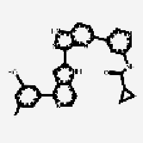 O=C(Nc1cncc(-c2ccc3[nH]nc(-c4cc5c(-c6cc(O)cc(F)c6)nccc5[nH]4)c3n2)c1)C1CC1